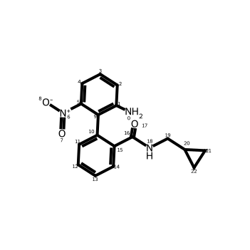 Nc1cccc([N+](=O)[O-])c1-c1ccccc1C(=O)NCC1CC1